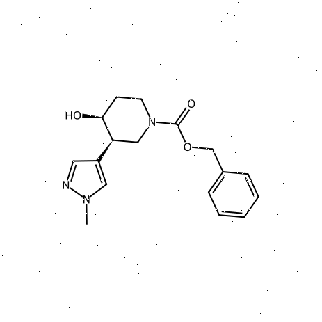 Cn1cc([C@@H]2CN(C(=O)OCc3ccccc3)CC[C@@H]2O)cn1